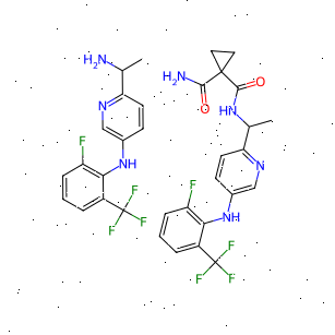 CC(N)c1ccc(Nc2c(F)cccc2C(F)(F)F)cn1.CC(NC(=O)C1(C(N)=O)CC1)c1ccc(Nc2c(F)cccc2C(F)(F)F)cn1